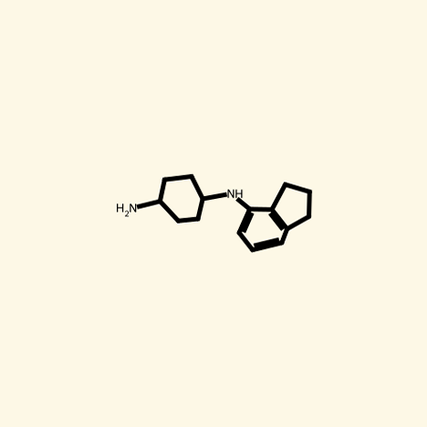 NC1CCC(Nc2cccc3c2CCC3)CC1